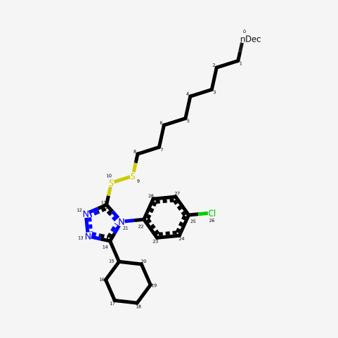 CCCCCCCCCCCCCCCCCCSSc1nnc(C2CCCCC2)n1-c1ccc(Cl)cc1